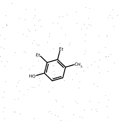 CCc1c(C)ccc(O)c1CC